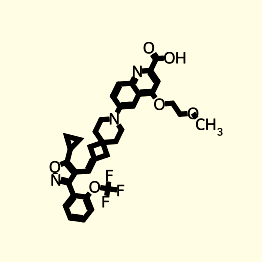 COCCOc1cc(C(=O)O)nc2ccc(N3CCC4(CC3)CC(=Cc3c(-c5ccccc5OC(F)(F)F)noc3C3CC3)C4)cc12